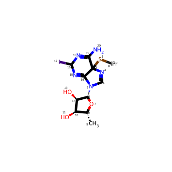 CC(C)SC12N=CN([C@@H]3O[C@H](C)[C@@H](O)[C@H]3O)C1=NC(I)N=C2N